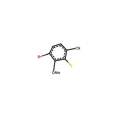 COc1c(Br)ccc(C#N)c1F